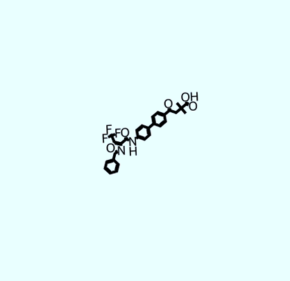 CC(C)(CC(=O)c1ccc(-c2ccc(NC(=O)c3nc(-c4ccccc4)oc3C(F)(F)F)cc2)cc1)C(=O)O